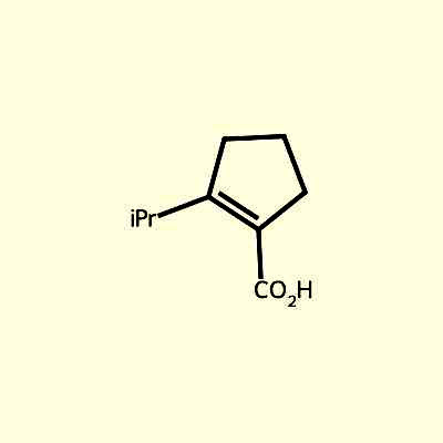 CC(C)C1=C(C(=O)O)CCC1